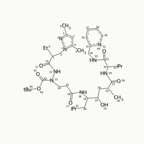 CCC(Cn1nc(C)cc1C)C(=O)NN(CCC(=O)NC(CC(C)C)C(O)CC(C)C(=O)NC(C(=O)NCc1ccccn1)C(C)C)C(=O)OC(C)(C)C